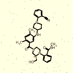 CNC(=O)c1ccccc1N1CCN(C(=O)c2cc(NC3CCN(c4ccccc4C#N)CC3)c(C)cc2C)C[C@@H]1CO